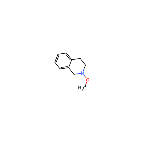 CON1CCc2ccccc2C1